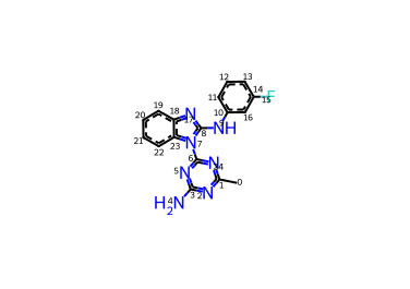 Cc1nc(N)nc(-n2c(Nc3cccc(F)c3)nc3ccccc32)n1